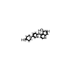 O=c1[nH]ccc2nccc(Nc3ccc(N4CCC(O)CC4)cn3)c12